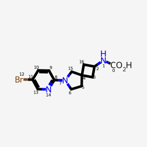 O=C(O)NC1CC2(CCN(c3ccc(Br)cn3)C2)C1